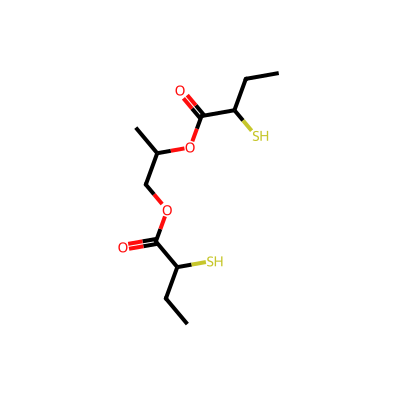 CCC(S)C(=O)OCC(C)OC(=O)C(S)CC